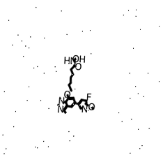 COc1ncc(-c2cc(OCCCCCCC(=O)NO)c3ncnc(C)c3c2)cc1F